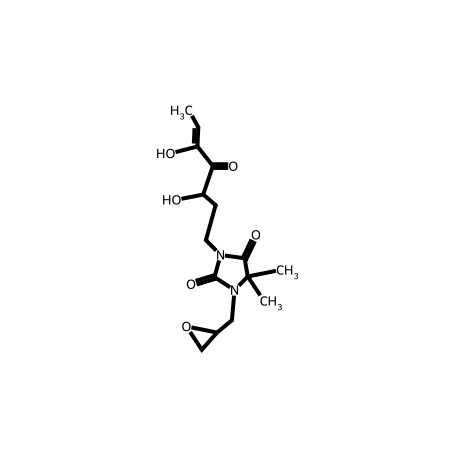 CC=C(O)C(=O)C(O)CCN1C(=O)N(CC2CO2)C(C)(C)C1=O